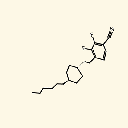 CCCCCC[C@H]1CC[C@H](CCc2ccc(C#N)c(F)c2F)CC1